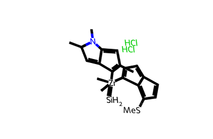 CSC1=C2C(=CC=[C]2[Zr]([CH3])([CH3])(=[SiH2])[C]2=C(C)C=C3C2=CC(C)N3C)C=C1.Cl.Cl